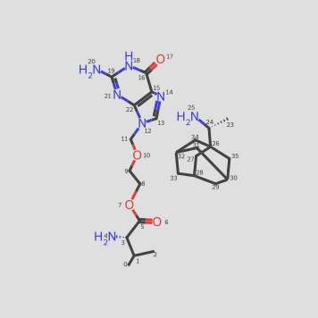 CC(C)[C@H](N)C(=O)OCCOCn1cnc2c(=O)[nH]c(N)nc21.C[C@@H](N)C12CC3CC(CC(C3)C1)C2